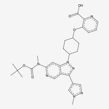 CN(C(=O)OC(C)(C)C)c1cc2c(cn1)c(-c1cnn(C)c1)nn2C1CCC(Oc2cccnc2C(=O)O)CC1